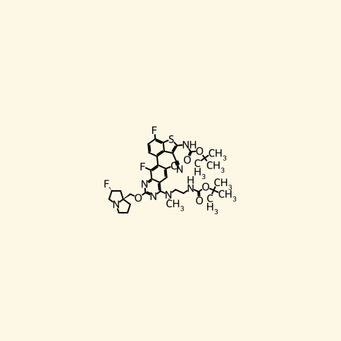 CN(CCNC(=O)OC(C)(C)C)c1nc(OC[C@@]23CCCN2C[C@H](F)C3)nc2c(F)c(-c3ccc(F)c4sc(NC(=O)OC(C)(C)C)c(C#N)c34)c(Cl)cc12